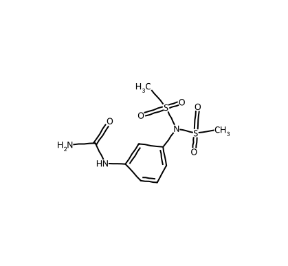 CS(=O)(=O)N(c1cccc(NC(N)=O)c1)S(C)(=O)=O